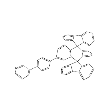 c1cncc(-c2ccc(-c3ccc4c(c3)C3(c5ccccc5-c5ccccc53)c3ccccc3C43c4ccccc4-c4ccccc43)cc2)c1